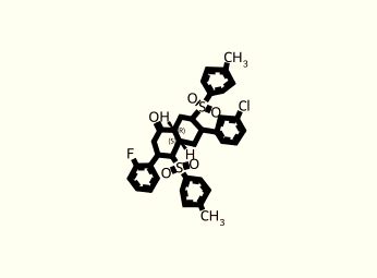 Cc1ccc(S(=O)(=O)C2C[C@H]3C(=O)CC(c4ccccc4F)C(S(=O)(=O)c4ccc(C)cc4)[C@H]3CC2c2cccc(Cl)c2)cc1